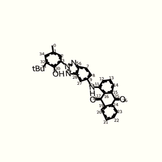 Cc1cc(-n2nc3ccc(Nc4cccc5c4C(=O)c4ccccc4C5=O)cc3n2)c(O)c(C(C)(C)C)c1